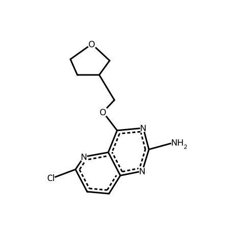 Nc1nc(OCC2CCOC2)c2nc(Cl)ccc2n1